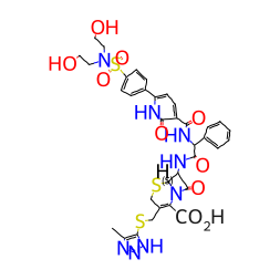 Cc1nn[nH]c1SCC1=C(C(=O)O)N2C(=O)C(NC(=O)C(NC(=O)c3ccc(-c4ccc(S(=O)(=O)N(CCO)CCO)cc4)[nH]c3=O)c3ccccc3)[C@@H]2SC1